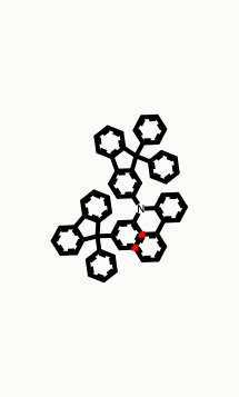 c1ccc(-c2ccccc2N(c2cccc(C3(c4ccccc4)c4ccccc4-c4ccccc43)c2)c2ccc3c(c2)C(c2ccccc2)(c2ccccc2)c2ccccc2-3)cc1